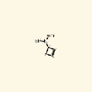 CCCN(CC)C1C=CC1